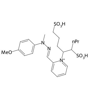 CCCC(C(CCCS(=O)(=O)O)[n+]1ccccc1C=NN(C)c1ccc(OC)cc1)S(=O)(=O)O